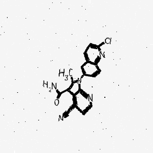 Cc1c(C(N)=O)c2c(C#N)ccnc2n1-c1ccc2nc(Cl)ccc2c1